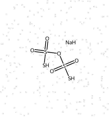 O=S(=O)(S)OS(=O)(=O)S.[NaH]